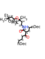 CCCCCCCCCCCCCC(=O)C(CCCCCCCCCCCC)C(=O)NCCC(C)(C)OCCC(C)(CC)OC